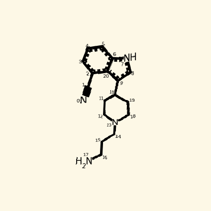 N#Cc1cccc2[nH]cc(C3CCN(CCCN)CC3)c12